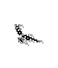 Cc1c(C)c2c(c(C)c1CCCCCCN)CCC(C)(COc1ccc(/C=C3/SC(=O)N(C)C3=O)cc1)O2.O=C(O)C(F)(F)F